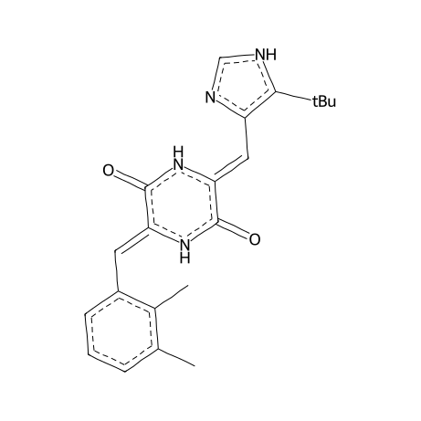 Cc1cccc(C=c2[nH]c(=O)c(=Cc3nc[nH]c3C(C)(C)C)[nH]c2=O)c1C